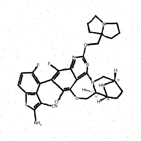 N#Cc1c(N)sc2ccc(F)c(-c3c(Cl)c4c5c(nc(OCC67CCCN6CCC7)nc5c3F)N3C[C@@H]5CC[C@@H](N5)[C@H]3CO4)c12